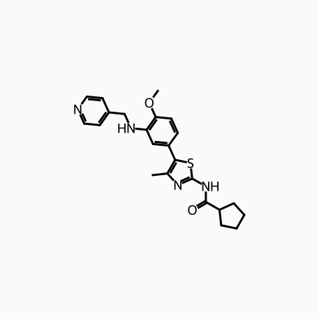 COc1ccc(-c2sc(NC(=O)C3CCCC3)nc2C)cc1NCc1ccncc1